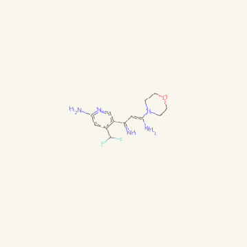 N=C(/C=C(\N)N1CCOCC1)c1cnc(N)cc1C(F)F